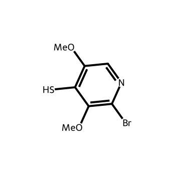 COc1cnc(Br)c(OC)c1S